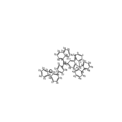 c1ccc(C2(c3ccc(N(c4ccc(-c5cccc6c5oc5ccccc56)cc4)c4cccc5ccccc45)cc3)c3ccccc3-c3ccccc32)cc1